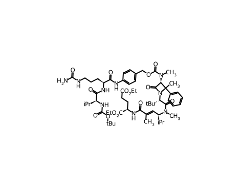 CCOC(=O)CC[C@@H](NC(=O)/C(C)=C/[C@H](C(C)C)N(C)C(=O)[C@@H](N1C(=O)[C@@H](N(C)C(=O)OCc2ccc(NC(=O)[C@H](CCCNC(N)=O)NC(=O)[C@@H](NC(=O)OC(C)(C)C)C(C)C)cc2)C1(C)c1ccccc1)C(C)(C)C)C(=O)OCC